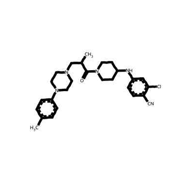 Cc1ccc(N2CCN(CC(C)C(=O)N3CCC(Nc4ccc(C#N)c(Cl)c4)CC3)CC2)cc1